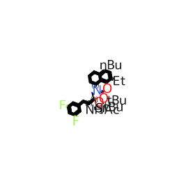 CCCCc1cc(CC)cc2c1CCC[C@@H]2N(C[C@@H](O[Si](C)(C)C(C)(C)C)[C@H](Cc1cc(F)cc(F)c1)NC(C)=O)C(=O)OC(C)(C)C